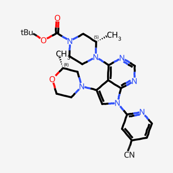 C[C@@H]1CN(c2cn(-c3cc(C#N)ccn3)c3ncnc(N4CCN(C(=O)OC(C)(C)C)C[C@@H]4C)c23)CCO1